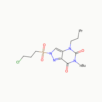 CCCCn1c(=O)c2nn(S(=O)(=O)CCCCl)cc2n(CCC(C)C)c1=O